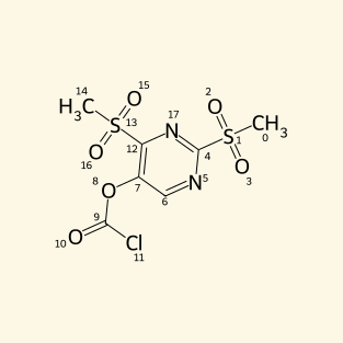 CS(=O)(=O)c1ncc(OC(=O)Cl)c(S(C)(=O)=O)n1